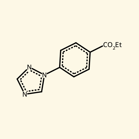 CCOC(=O)c1ccc(-n2cncn2)cc1